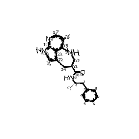 [CH2][C@@H](Cc1ccccc1)NC(=O)C1CNc2ccnc3[nH]cc(c23)C1